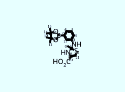 CC1(Nc2cccc(B3OC(C)(C)C(C)(C)O3)c2)NC(C(=O)O)=CS1